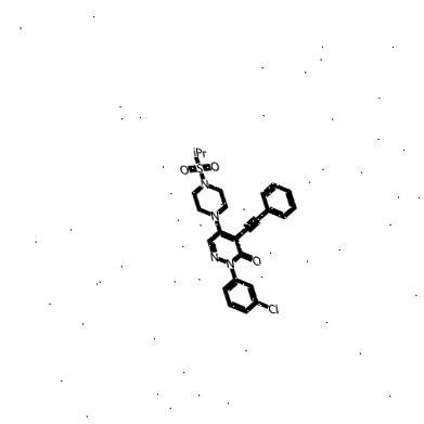 CC(C)S(=O)(=O)N1CCN(c2cnn(-c3cccc(Cl)c3)c(=O)c2C#Cc2ccccc2)CC1